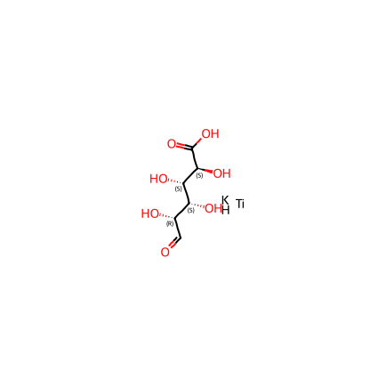 O=C[C@H](O)[C@@H](O)[C@H](O)[C@H](O)C(=O)O.[KH].[Ti]